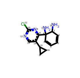 NC1C=CC=CC1(N)c1nc(Cl)ncc1C1CC1